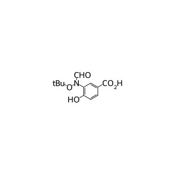 CC(C)(C)ON(C=O)c1cc(C(=O)O)ccc1O